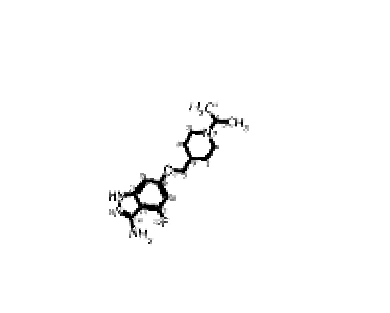 CC(C)N1CCC(COc2cc(F)c3c(N)n[nH]c3c2)CC1